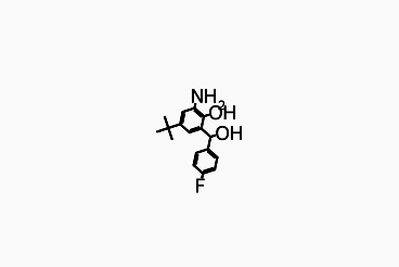 CC(C)(C)c1cc(N)c(O)c(C(O)c2ccc(F)cc2)c1